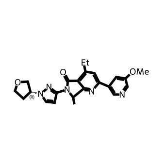 CCc1cc(-c2cncc(OC)c2)nc2c1C(=O)N(c1ccn([C@@H]3CCOC3)n1)C2C